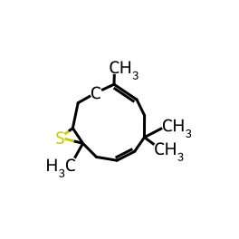 C/C1=C/CC(C)(C)/C=C\CC2(C)SC2CC1